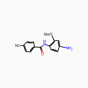 COc1cc(N)ccc1NC(=O)c1ccc(C#N)cc1